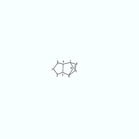 [CH]1CCC2C3C=CC(C3)C12